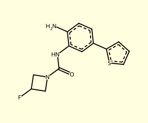 Nc1ccc(-c2cccs2)cc1NC(=O)N1CC(F)C1